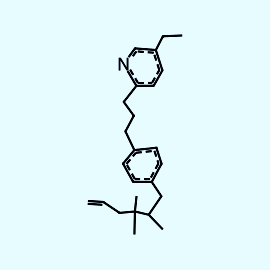 C=CCC(C)(C)C(C)Cc1ccc(CCCc2ccc(CC)cn2)cc1